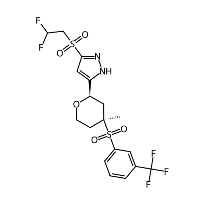 C[C@]1(S(=O)(=O)c2cccc(C(F)(F)F)c2)CCO[C@@H](c2cc(S(=O)(=O)CC(F)F)n[nH]2)C1